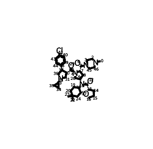 CN1CCN(C(=O)[C@@H]2C[C@H](N(C(=O)[C@@H]3CCCO3)C3CCC(C)(C)CC3)CN2C(=O)[C@@H]2CN(C3CC3)C[C@H]2c2ccc(Cl)cc2)CC1